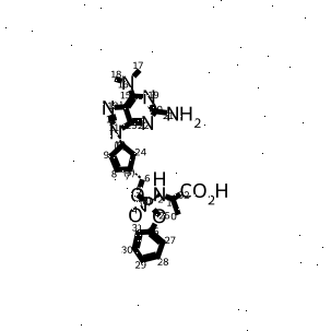 CC(N[P@@](=O)(OC[C@@H]1C=C[C@H](n2cnc3c(N(C)C)nc(N)nc32)C1)Oc1ccccc1)C(=O)O